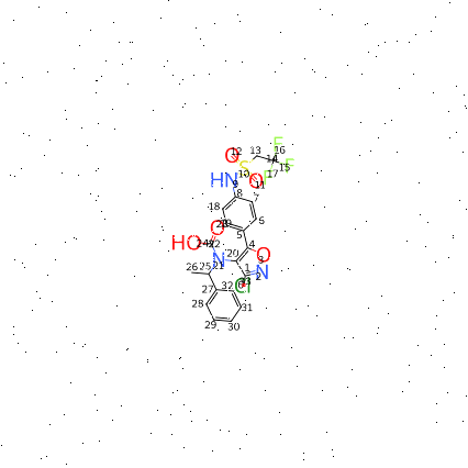 Cc1noc(-c2ccc(NS(=O)(=O)CC(F)(F)F)cc2)c1N(C(=O)O)C(C)c1ccccc1Cl